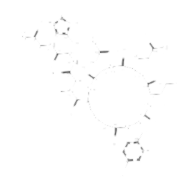 CC[C@H](C)[C@@H]1NC(=O)[C@H](Cc2ccc(O)cc2)NC(=O)CNC[C@@H](C(=O)N(C)CC(=O)N[C@@H](Cc2cccs2)C(=O)NCC(N)=O)NC(=O)[C@H](CC(N)=O)NC(=O)[C@H](CCC(N)=O)NC1=O